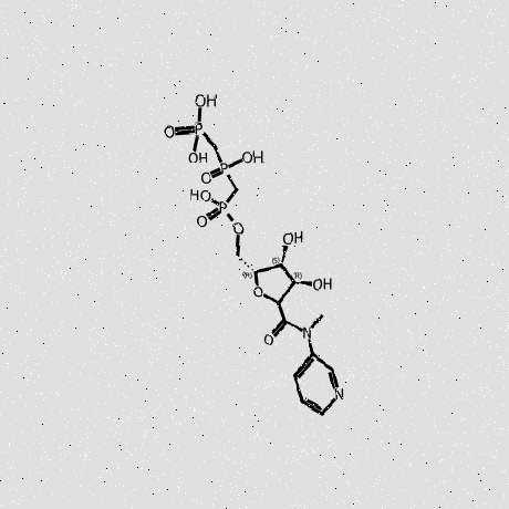 CN(C(=O)C1O[C@H](COP(=O)(O)CP(=O)(O)CP(=O)(O)O)[C@@H](O)[C@H]1O)c1cccnc1